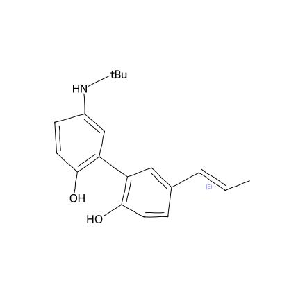 C/C=C/c1ccc(O)c(-c2cc(NC(C)(C)C)ccc2O)c1